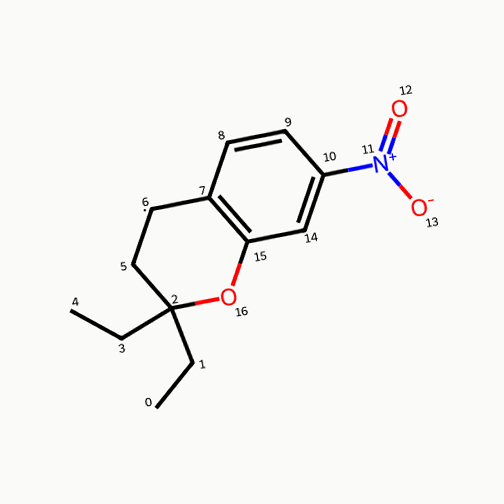 CCC1(CC)C[CH]c2ccc([N+](=O)[O-])cc2O1